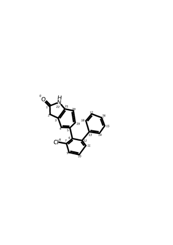 O=C1Cc2cc(-c3c(Cl)cccc3-c3cc[c]cc3)ccc2N1